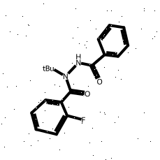 CC(C)(C)N(NC(=O)c1ccccc1)C(=O)c1ccccc1F